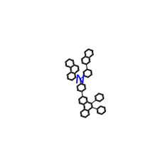 c1ccc(-c2c(-c3ccccc3)c3cc(-c4ccc(N(c5cccc(-c6ccc7ccccc7c6)c5)c5cccc6c5ccc5ccccc56)cc4)ccc3c3ccccc23)cc1